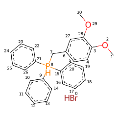 Br.COc1ccc(C[PH](c2ccccc2)(c2ccccc2)c2ccccc2)cc1OC